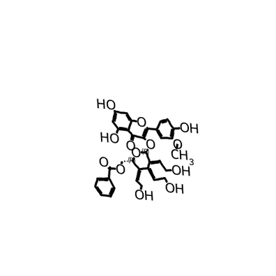 COc1cc(-c2oc3cc(O)cc(O)c3c(=O)c2O[C@@H]2O[C@@H](COC(=O)c3ccccc3)C(=CCO)C(=CCO)C2=CCO)ccc1O